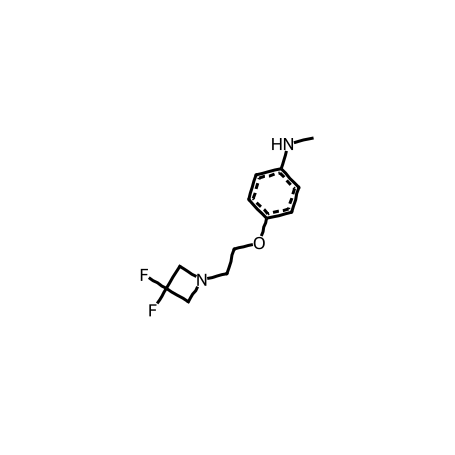 CNc1ccc(OCCN2CC(F)(F)C2)cc1